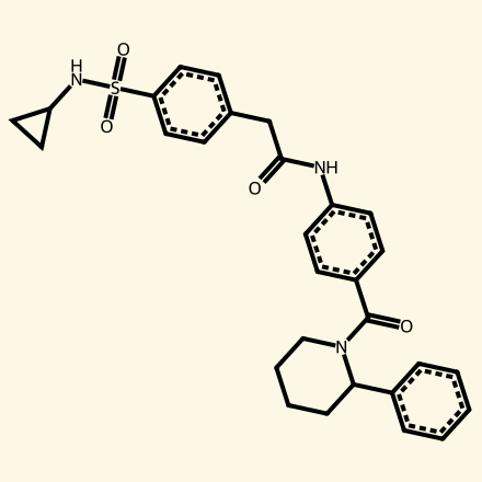 O=C(Cc1ccc(S(=O)(=O)NC2CC2)cc1)Nc1ccc(C(=O)N2CCCCC2c2ccccc2)cc1